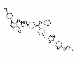 COc1ccc(-c2ncc(CN3CC[C@@H](C(=O)N4CCC(O)(Cn5cnc6c(ccn6-c6ccc(Cl)cc6)c5=O)CC4)[C@H](c4ccccc4)C3)s2)cn1